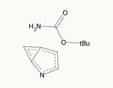 CC(C)(C)OC(N)=O.c1cc2cc-2n1